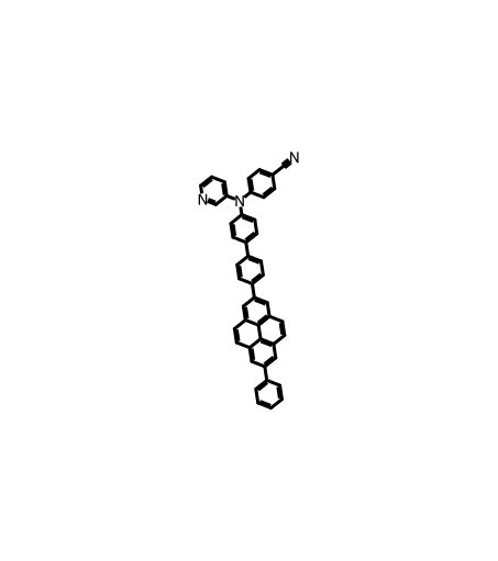 N#Cc1ccc(N(c2ccc(-c3ccc(-c4cc5ccc6cc(-c7ccccc7)cc7ccc(c4)c5c67)cc3)cc2)c2cccnc2)cc1